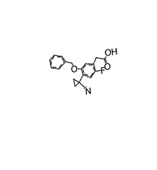 N#CC1(c2cc(F)c(CC(=O)O)cc2OCc2ccccc2)CC1